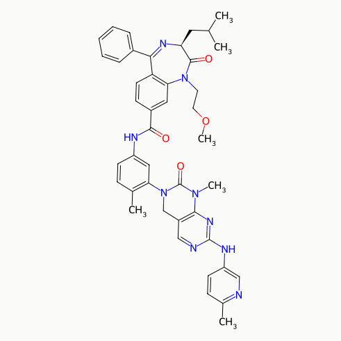 COCCN1C(=O)[C@H](CC(C)C)N=C(c2ccccc2)c2ccc(C(=O)Nc3ccc(C)c(N4Cc5cnc(Nc6ccc(C)nc6)nc5N(C)C4=O)c3)cc21